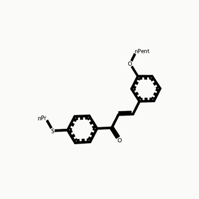 CCCCCOc1cccc(C=CC(=O)c2ccc(SCCC)cc2)c1